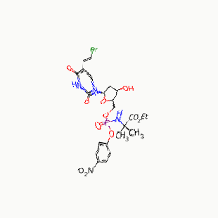 CCOC(=O)C(C)(C)NP(=O)(OC[C@H]1O[C@@H](n2cc(/C=C/Br)c(=O)[nH]c2=O)C[C@H]1O)Oc1ccc([N+](=O)[O-])cc1